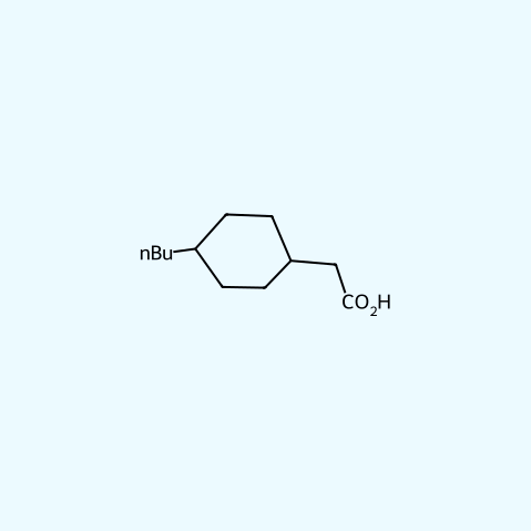 CCCCC1CCC(CC(=O)O)CC1